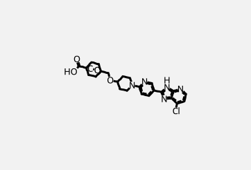 O=C(O)C12CCC(COC3CCN(c4ccc(-c5nc6c(Cl)ccnc6[nH]5)cn4)CC3)(CC1)CC2